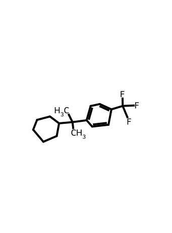 CC(C)(c1ccc(C(F)(F)F)cc1)C1CCCCC1